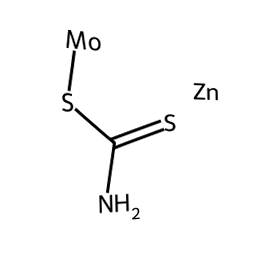 NC(=S)[S][Mo].[Zn]